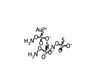 NOS(=O)([O-])=S.NOS(=O)([O-])=S.NOS(=O)([O-])=S.[Au+3]